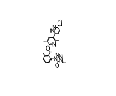 Cc1cc(-c2ccc(Cl)nn2)c(C)nc1OCc1c(C)cccc1-n1nnn(C)c1=O